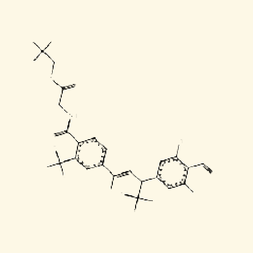 C=Cc1c(Cl)cc(C(C=C(F)c2ccc(C(=O)NCC(=O)NCC(F)(F)F)c(C(F)(F)F)c2)C(F)(F)F)cc1Cl